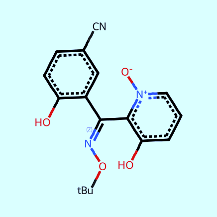 CC(C)(C)O/N=C(/c1cc(C#N)ccc1O)c1c(O)ccc[n+]1[O-]